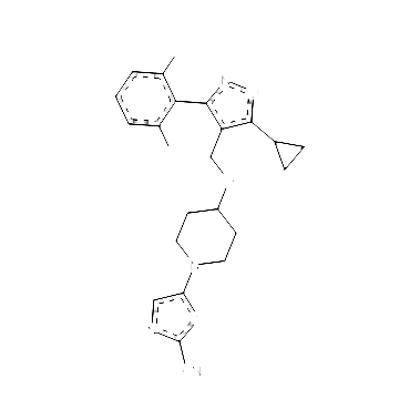 N#Cc1ncc(N2CCC(OCc3c(-c4c(Cl)cccc4Cl)noc3C3CC3)CC2)s1